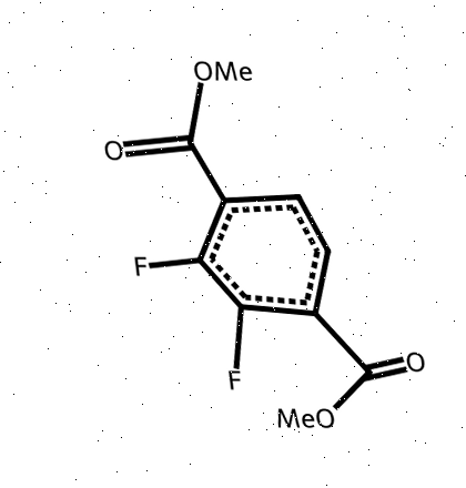 COC(=O)c1ccc(C(=O)OC)c(F)c1F